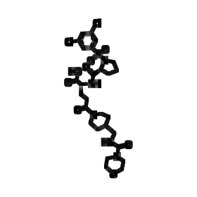 O=C(O)[C@H](CCC(=O)N1CCC(CNC(=O)N2CCOCC2)CC1)NC(=O)[C@@H]1CCCN1S(=O)(=O)c1cc(Cl)cc(Cl)c1